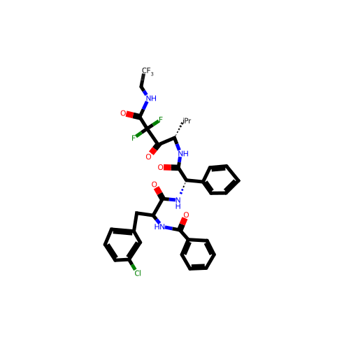 CC(C)[C@H](NC(=O)[C@@H](NC(=O)C(Cc1cccc(Cl)c1)NC(=O)c1ccccc1)c1ccccc1)C(=O)C(F)(F)C(=O)NCC(F)(F)F